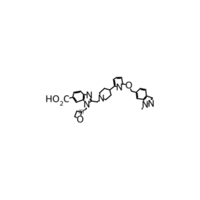 Cn1ncc2ccc(COc3cccc(C4CCN(Cc5nc6ccc(C(=O)O)cc6n5C[C@@H]5CCO5)CC4)n3)cc21